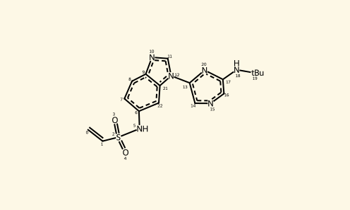 C=CS(=O)(=O)Nc1ccc2ncn(-c3cncc(NC(C)(C)C)n3)c2c1